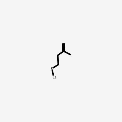 C=C(C)CCSCC